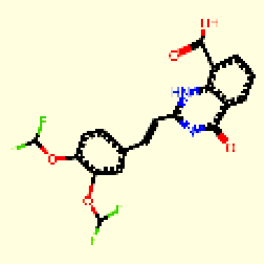 O=C(O)c1cccc2c(=O)nc(/C=C/c3ccc(OC(F)F)c(OC(F)F)c3)[nH]c12